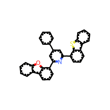 c1ccc(-c2cc(-c3cccc4c3oc3ccccc34)nc(-c3cccc4c3sc3ccccc34)c2)cc1